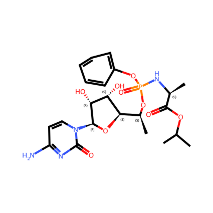 CC(C)OC(=O)[C@H](C)NP(=O)(Oc1ccccc1)O[C@@H](C)[C@H]1O[C@@H](n2ccc(N)nc2=O)[C@H](O)[C@@H]1O